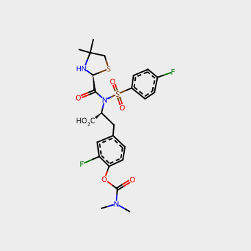 CN(C)C(=O)Oc1ccc(C[C@@H](C(=O)O)N(C(=O)[C@H]2NC(C)(C)CS2)S(=O)(=O)c2ccc(F)cc2)cc1F